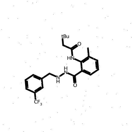 Cc1cccc(C(=O)NNCc2cccc(C(F)(F)F)c2)c1NC(=O)CC(C)(C)C